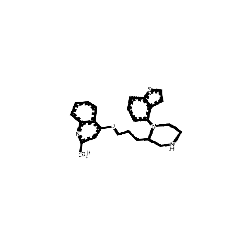 O=C(O)c1cc(OCCCC2CNCCN2c2cccc3sccc23)c2ccccc2n1